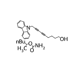 CCCCC(C)OC(N)=O.OCCCCC#CC#CCn1c2ccccc2c2ccccc21